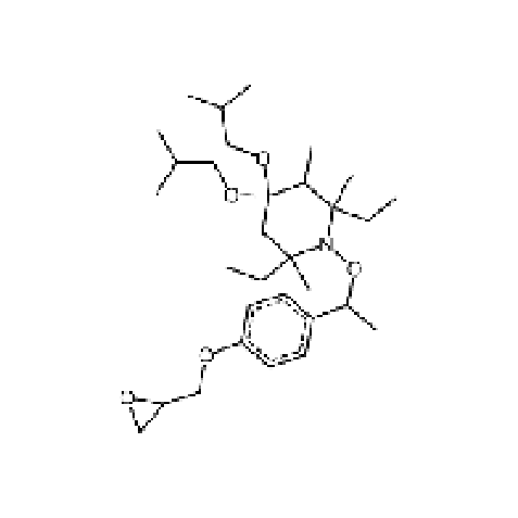 CCC1(C)CC(OCC(C)C)(OCC(C)C)C(C)C(C)(CC)N1OC(C)c1ccc(OCC2CO2)cc1